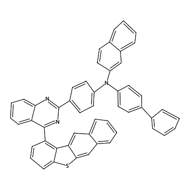 c1ccc(-c2ccc(N(c3ccc(-c4nc(-c5cccc6sc7cc8ccccc8cc7c56)c5ccccc5n4)cc3)c3ccc4ccccc4c3)cc2)cc1